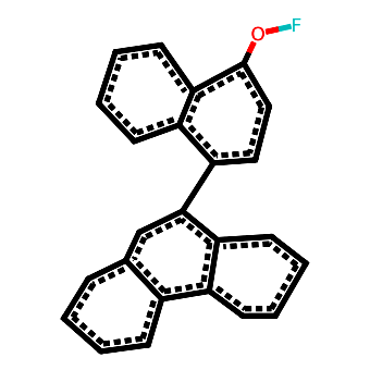 FOc1ccc(-c2cc3ccccc3c3ccccc23)c2ccccc12